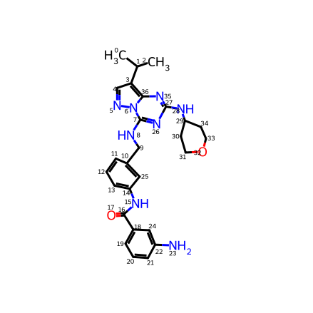 CC(C)c1cnn2c(NCc3cccc(NC(=O)c4cccc(N)c4)c3)nc(NC3CCOCC3)nc12